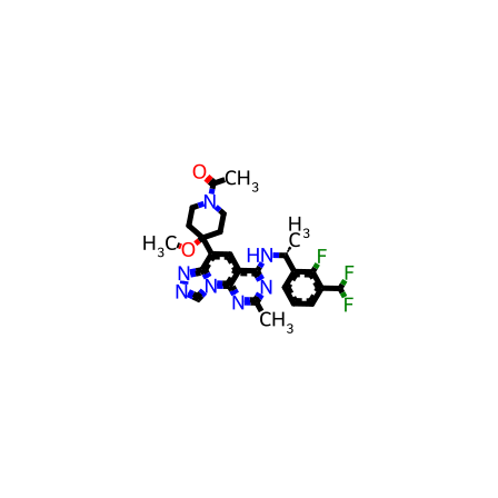 COC1(c2cc3c(N[C@H](C)c4cccc(C(F)F)c4F)nc(C)nc3n3cnnc23)CCN(C(C)=O)CC1